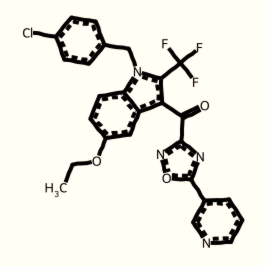 CCOc1ccc2c(c1)c(C(=O)c1noc(-c3cccnc3)n1)c(C(F)(F)F)n2Cc1ccc(Cl)cc1